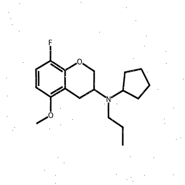 CCCN(C1CCCC1)C1COc2c(F)ccc(OC)c2C1